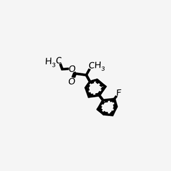 CCOC(=O)C(C)c1ccc(-c2ccccc2F)cc1